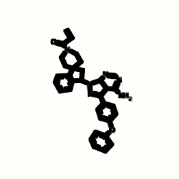 C=CC(=O)N1CCC2(CC1)CC(N1N=C(c3ccc(Oc4ccccc4)cc3)C3C(N)=NC=NC31)c1ccccc12